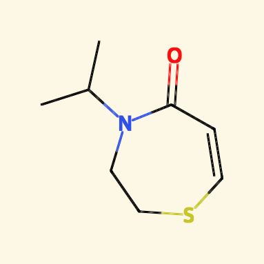 CC(C)N1CCSC=CC1=O